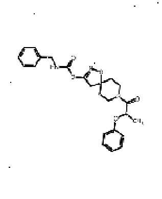 CC(Oc1ccccc1)C(=O)N1CCC2(CC1)CC(OC(=O)NCc1ccccc1)=NO2